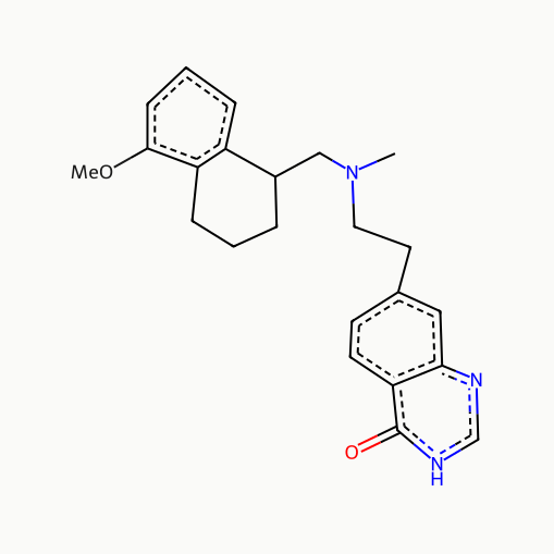 COc1cccc2c1CCCC2CN(C)CCc1ccc2c(=O)[nH]cnc2c1